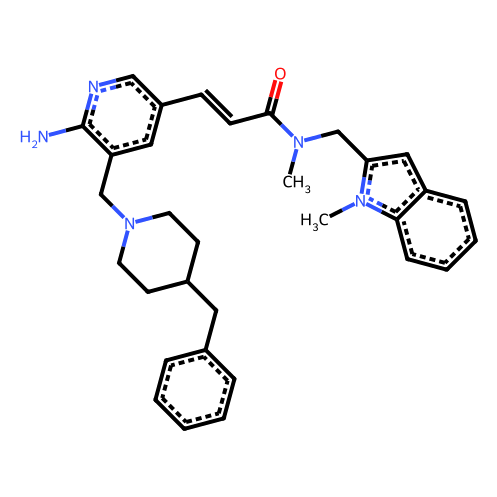 CN(Cc1cc2ccccc2n1C)C(=O)C=Cc1cnc(N)c(CN2CCC(Cc3ccccc3)CC2)c1